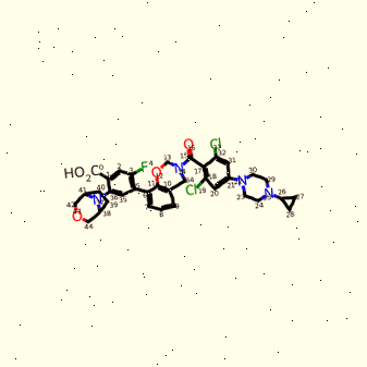 O=C(O)c1cc(F)c(-c2cccc3c2OCN(C(=O)c2c(Cl)cc(N4CCN(C5CC5)CC4)cc2Cl)C3)cc1N1C2CCC1COC2